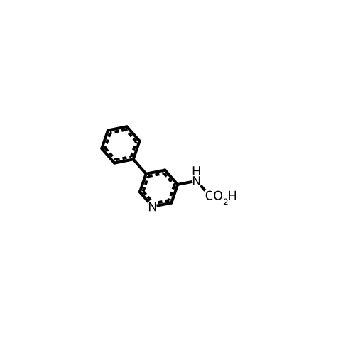 O=C(O)Nc1cncc(-c2ccccc2)c1